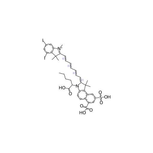 CCCCC(C(=O)O)N1\C(=C/C=C/C=C/C=C/C2=[N+](C)c3cc(I)cc(I)c3C2(C)C)C(C)(C)c2c1ccc1c(S(=O)(=O)O)cc(S(=O)(=O)O)cc21